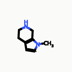 Cn1[c]cc2c1CNCC2